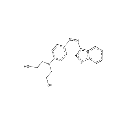 OCCN(CCO)c1ccc(/N=N\c2nsc3ccccc23)cc1